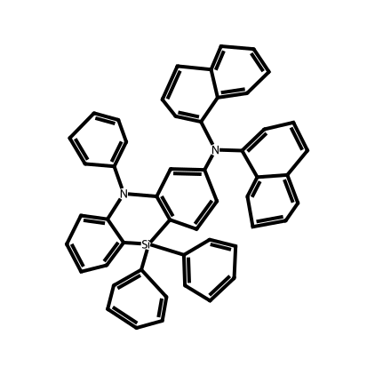 c1ccc(N2c3ccccc3[Si](c3ccccc3)(c3ccccc3)c3ccc(N(c4cccc5ccccc45)c4cccc5ccccc45)cc32)cc1